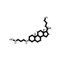 CCCCNCCCN[C@H]1CC[C@@]2(C)C(CCC3C2CC[C@@]2(C)C3CCC2[C@H](C)CCCC(C)C)C1